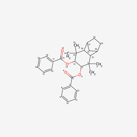 CC1(C)C(OC(=O)c2ccccc2)C(OC(=O)c2ccccc2)C(C)(C)C2C3CCC(C3)C21